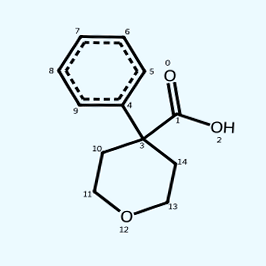 O=C(O)C1(c2ccccc2)CCOCC1